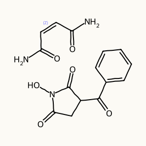 NC(=O)/C=C\C(N)=O.O=C(c1ccccc1)C1CC(=O)N(O)C1=O